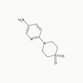 Nc1ccc(N2CCS(=O)(=O)CC2)nc1